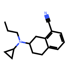 CCCN(C1CC1)C1CCc2cccc(C#N)c2C1